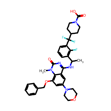 CC(Nc1nc(=O)n(C)c2c(OCc3ccccc3)cc(N3CCOCC3)cc12)c1cccc(C(F)(F)C2CCN(C(=O)O)CC2)c1F